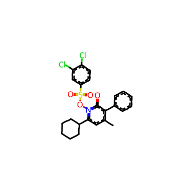 Cc1cc(C2CCCCC2)n(OS(=O)(=O)c2ccc(Cl)c(Cl)c2)c(=O)c1-c1ccccc1